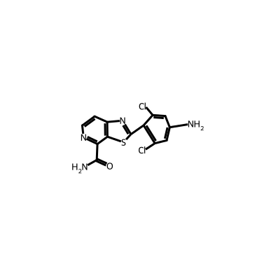 NC(=O)c1nccc2nc(-c3c(Cl)cc(N)cc3Cl)sc12